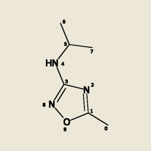 Cc1nc(NC(C)C)no1